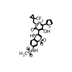 CS(=O)(=O)Nc1ccc2c(c1)S(=O)(=O)C=C(c1c(O)c(-c3cccs3)nn(CC3(C(F)(F)F)CC3)c1=O)N2